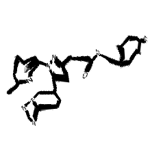 Cc1cccc(-n2nc(CC(=O)NCc3ccc(F)cc3)cc2-c2ccc3ncnn3c2)n1